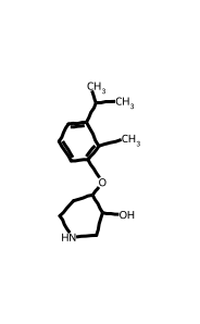 Cc1c(OC2CCNCC2O)cccc1C(C)C